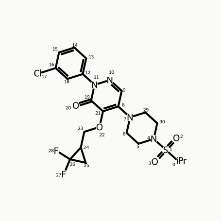 CC(C)S(=O)(=O)N1CCN(c2cnn(-c3cccc(Cl)c3)c(=O)c2OCC2CC2(F)F)CC1